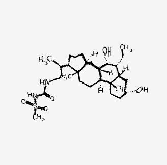 CC[C@H]1[C@@H](O)[C@@H]2[C@H](CC[C@]3(C)[C@@H]([C@H](C)CNC(=O)NS(C)(=O)=O)CC[C@@H]23)[C@@]2(C)CC[C@@H](O)C[C@@H]12